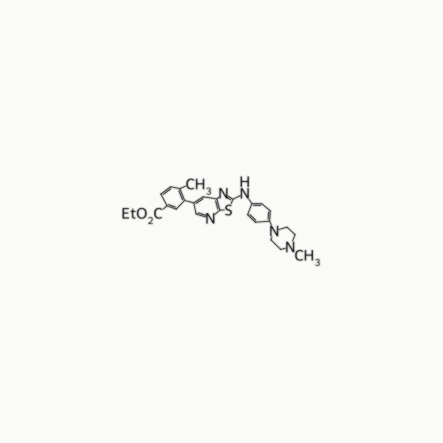 CCOC(=O)c1ccc(C)c(-c2cnc3sc(Nc4ccc(N5CCN(C)CC5)cc4)nc3c2)c1